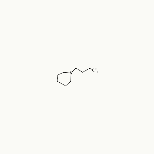 FC(F)(F)CCCN1CC[CH]CC1